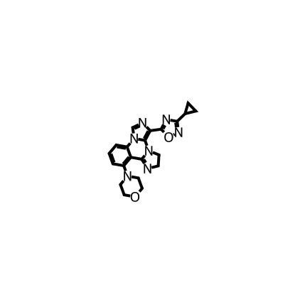 c1cc(N2CCOCC2)c2c(c1)-n1cnc(-c3nc(C4CC4)no3)c1N1CCN=C21